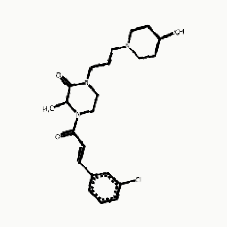 CC1C(=O)N(CCCN2CCC(O)CC2)CCN1C(=O)/C=C/c1cccc(Cl)c1